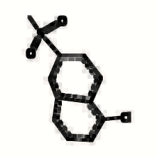 CS(=O)(=O)c1ccc2c(Cl)cccc2c1